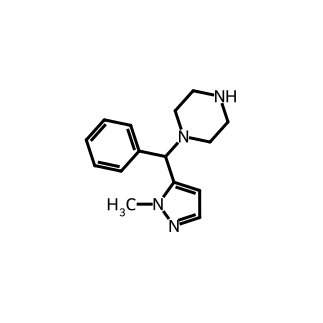 Cn1nccc1C(c1ccccc1)N1CCNCC1